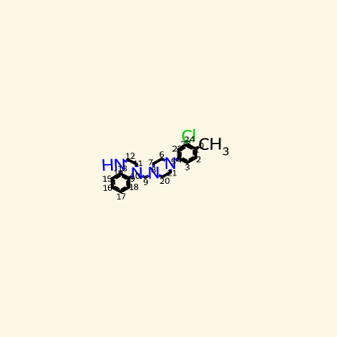 Cc1ccc(N2CCN(CN3CCNc4ccccc43)CC2)cc1Cl